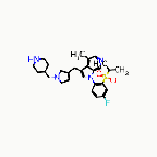 Cc1cncc2c1c(CC1CCN(CC3CCNCC3)C1)cn2-c1ccc(F)cc1S(=O)(=O)C(C)C